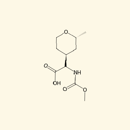 COC(=O)NC(C(=O)O)[C@H]1CCO[C@H](C)C1